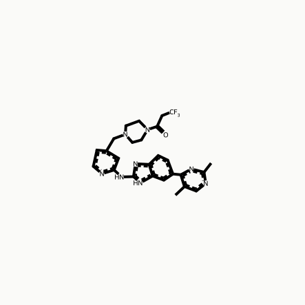 Cc1ncc(C)c(-c2ccc3nc(Nc4cc(CN5CCN(C(=O)CC(F)(F)F)CC5)ccn4)[nH]c3c2)n1